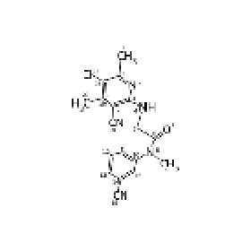 Cc1nc(NCC(=O)N(C)c2cccc(C#N)c2)c(C#N)c(C)c1Cl